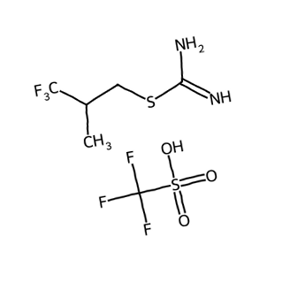 CC(CSC(=N)N)C(F)(F)F.O=S(=O)(O)C(F)(F)F